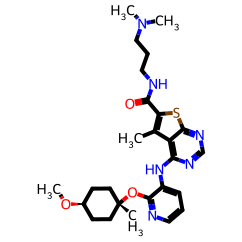 CO[C@H]1CC[C@](C)(Oc2ncccc2Nc2ncnc3sc(C(=O)NCCCN(C)C)c(C)c23)CC1